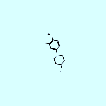 COC1CCN(c2ccc([N+](=O)[O-])c(N)c2)CC1